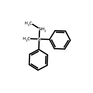 C[SiH2][Si](C)(c1ccccc1)c1ccccc1